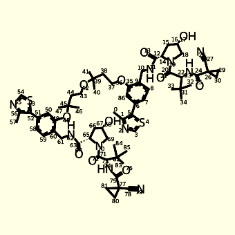 Cc1ncsc1-c1ccc(CNC(=O)[C@@H]2C[C@@H](O)CN2C(=O)[C@@H](NC(=O)C2(C#N)CC2)C(C)(C)C)c(OCCC(C)(C)OCCC(C)(C)Oc2cc(-c3scnc3C)ccc2CNC(=O)[C@@H]2C[C@@H](O)CN2C(=O)[C@@H](NC(=O)C2(C#N)CC2)C(C)(C)C)c1